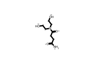 NC(=O)CCC(=O)N(CCO)CCO